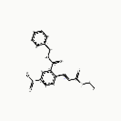 CCOC(=O)/C=C/c1ccc([N+](=O)[O-])cc1C(=O)OCc1ccccc1